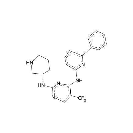 FC(F)(F)c1cnc(N[C@H]2CCCNC2)nc1Nc1cccc(-c2ccccc2)n1